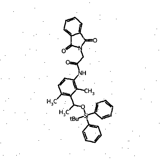 Cc1ccc(NC(=O)CN2C(=O)c3ccccc3C2=O)c(C)c1C(C)O[Si](c1ccccc1)(c1ccccc1)C(C)(C)C